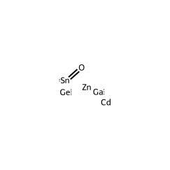 [Cd].[Ga].[Ge].[O]=[Sn].[Zn]